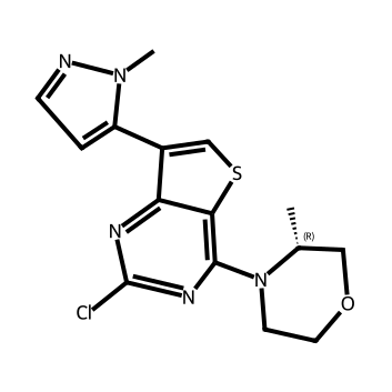 C[C@@H]1COCCN1c1nc(Cl)nc2c(-c3ccnn3C)csc12